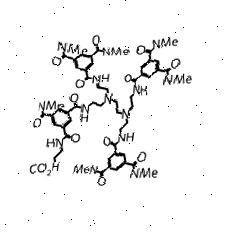 CNC(=O)c1cc(C(=O)NC)cc(C(=O)NCCN(CCNC(=O)c2cc(C(=O)NC)cc(C(=O)NC)c2)CCN(CCNC(=O)c2cc(C(=O)NC)cc(C(=O)NC)c2)CCNC(=O)c2cc(C(=O)NC)cc(C(=O)NCCC(=O)O)c2)c1